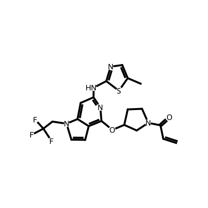 C=CC(=O)N1CCC(Oc2nc(Nc3ncc(C)s3)cc3c2ccn3CC(F)(F)F)C1